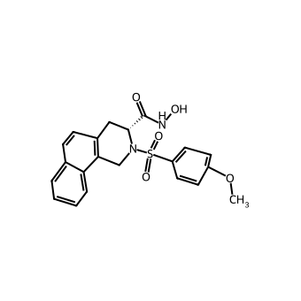 COc1ccc(S(=O)(=O)N2Cc3c(ccc4ccccc34)C[C@@H]2C(=O)NO)cc1